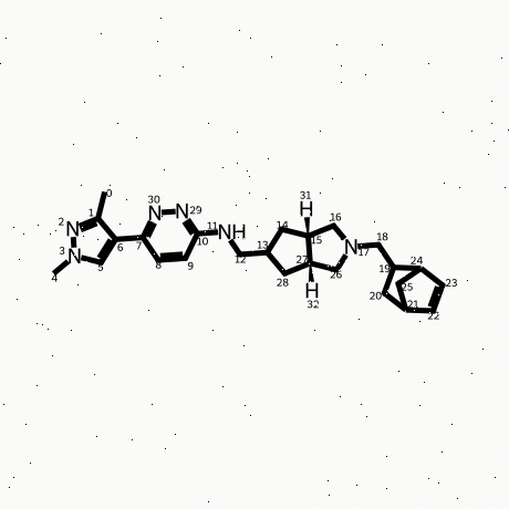 Cc1nn(C)cc1-c1ccc(NCC2C[C@@H]3CN(CC4CC5C=CC4C5)C[C@@H]3C2)nn1